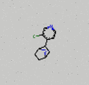 Clc1cnccc1C1CC2CCC1N2